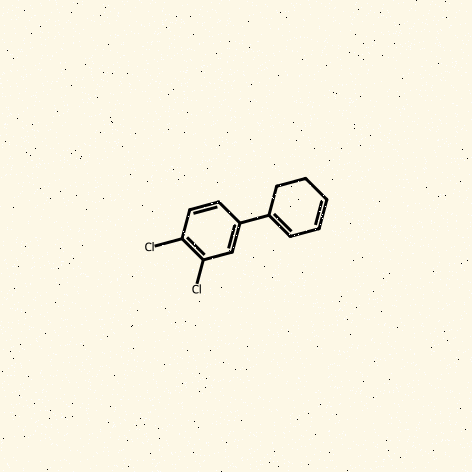 Clc1ccc(C2=CC=CCC2)cc1Cl